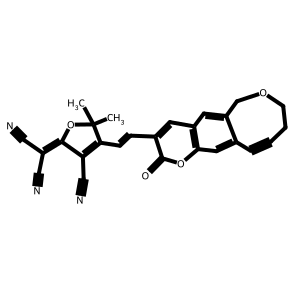 CC1(C)OC(=C(C#N)C#N)C(C#N)=C1/C=C/c1cc2cc3c(cc2oc1=O)C#CCCOC3